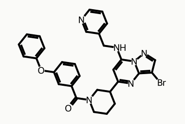 O=C(c1cccc(Oc2ccccc2)c1)N1CCCC(c2cc(NCc3cccnc3)n3ncc(Br)c3n2)C1